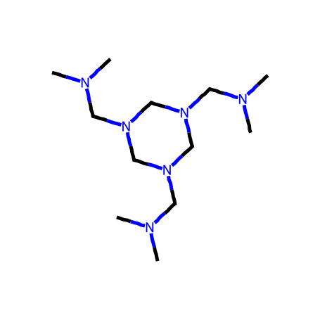 CN(C)CN1CN(CN(C)C)CN(CN(C)C)C1